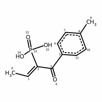 CC=C(C(=O)c1ccc(C)cc1)P(=O)(O)O